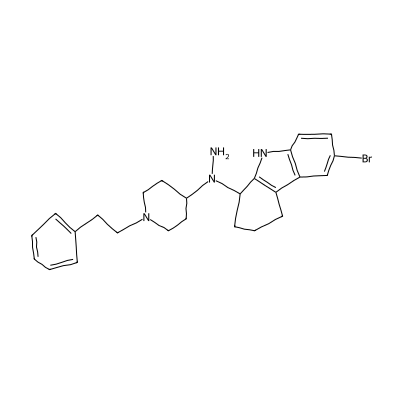 NN(C1CCN(CCc2ccccc2)CC1)C1CCCc2c1[nH]c1ccc(Br)cc21